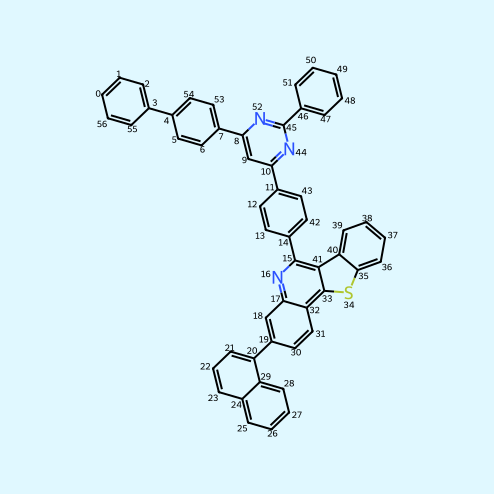 c1ccc(-c2ccc(-c3cc(-c4ccc(-c5nc6cc(-c7cccc8ccccc78)ccc6c6sc7ccccc7c56)cc4)nc(-c4ccccc4)n3)cc2)cc1